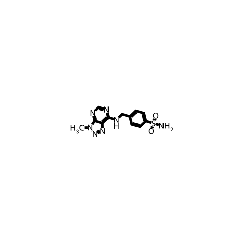 Cn1nnc2c(NCc3ccc(S(N)(=O)=O)cc3)ncnc21